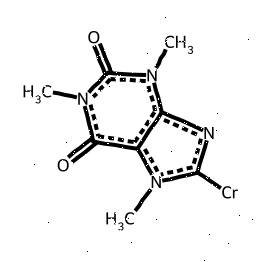 Cn1c(=O)c2c(n[c]([Cr])n2C)n(C)c1=O